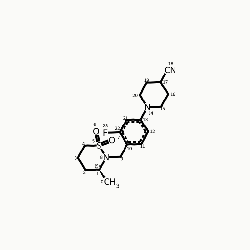 C[C@H]1CCCS(=O)(=O)N1Cc1ccc(N2CCC(C#N)CC2)cc1F